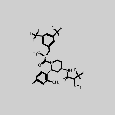 Cc1cc(F)ccc1[C@H]1C[C@H](NC(=O)C(C)C(F)(F)F)CCN1C(=O)N(C)Cc1cc(C(F)(F)F)cc(C(F)(F)F)c1